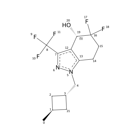 C[C@H]1C[C@H](Cn2nc(C(F)(F)F)c3c2CCC(F)(F)[C@H]3O)C1